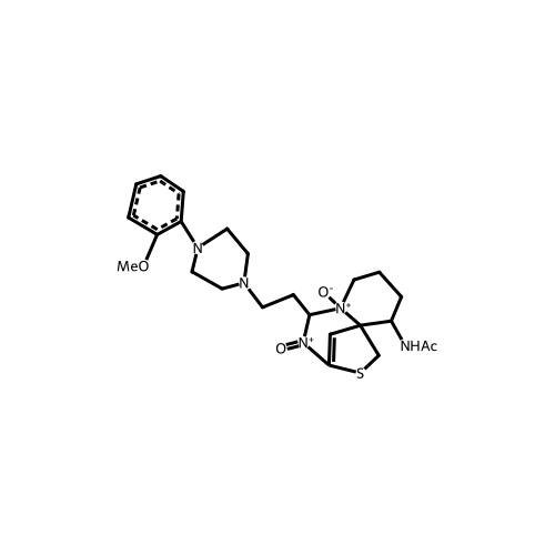 COc1ccccc1N1CCN(CCC2[N+](=O)C3=CC4(CS3)C(NC(C)=O)CCC[N+]24[O-])CC1